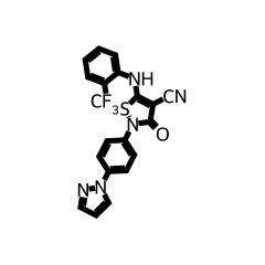 N#Cc1c(Nc2ccccc2C(F)(F)F)sn(-c2ccc(-n3cccn3)cc2)c1=O